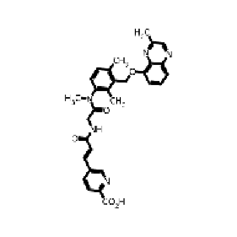 Cc1cnc2cccc(OCc3c(C)ccc(N(C)C(=O)CNC(=O)/C=C/c4ccc(C(=O)O)nc4)c3C)c2n1